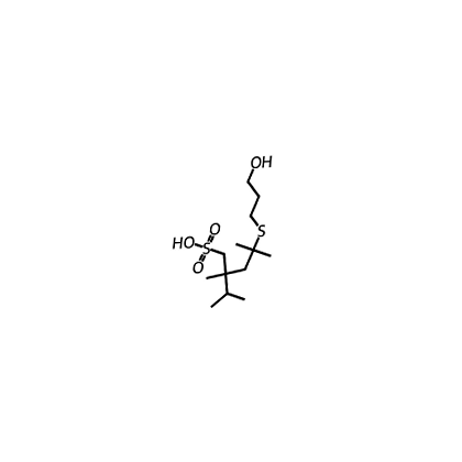 CC(C)C(C)(CC(C)(C)SCCCO)CS(=O)(=O)O